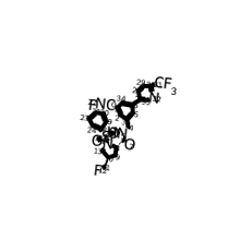 N#Cc1cc(CNC(=O)[C@@H]2C[C@@H](CF)CN2S(=O)(=O)c2ccc(F)cc2)cc(-c2ccc(C(F)(F)F)nc2)c1